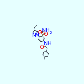 CCc1cnn(-c2ccc(NC(=O)Cc3ccc(C)cc3)cc2S(N)(=O)=O)c1